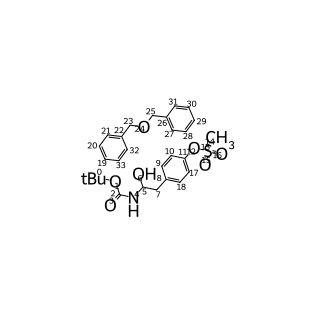 CC(C)(C)OC(=O)NC(O)Cc1ccc(OS(C)(=O)=O)cc1.c1ccc(COCc2ccccc2)cc1